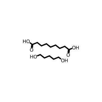 O=C(O)CCCCCCCC(=O)O.OCCCCCO